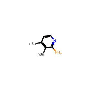 CCCCc1ccnc(P)c1CCCC